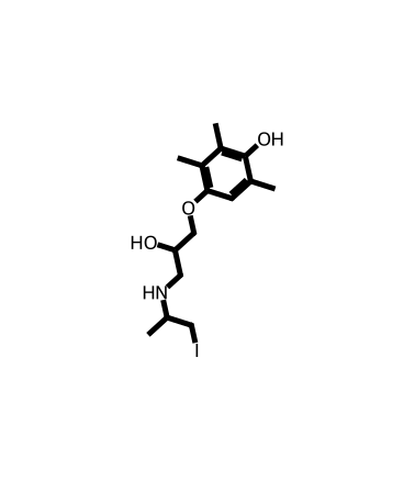 Cc1cc(OCC(O)CNC(C)CI)c(C)c(C)c1O